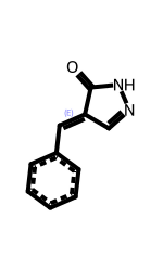 O=C1NN=C/C1=C\c1ccccc1